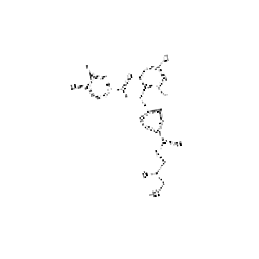 Cn1cc(C(=O)CC(c2ccc(C(=O)NCC(O)CO)cc2)c2ccc(Cl)cc2F)ccc1=O